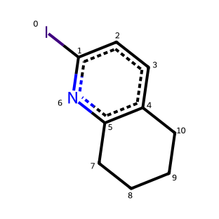 Ic1ccc2c(n1)CCCC2